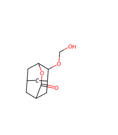 O=C1OC2CC3CC1CC(C3)C2OCO